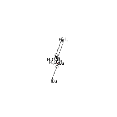 CCC(C)CCCCCCCCCCCCCOCCC(CC(C)(C)C(CCOCCCCCCCCCCCCCCCCF)CC(C)(C)CCCOCCCCCCCCCCCCCCC(C)F)C(C)(C)C